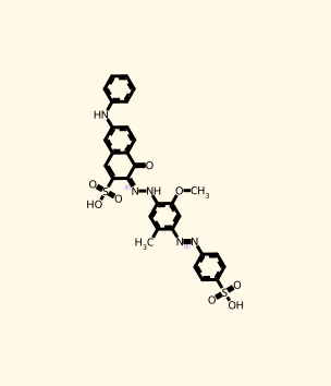 COc1cc(/N=N/c2ccc(S(=O)(=O)O)cc2)c(C)cc1N/N=C1\C(=O)c2ccc(Nc3ccccc3)cc2C=C1S(=O)(=O)O